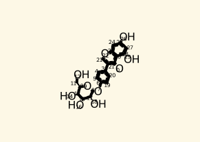 O=c1c(-c2ccc(OC3O[C@H](CO)[C@@H](O)[C@H](O)[C@H]3O)cc2)coc2cc(O)cc(O)c12